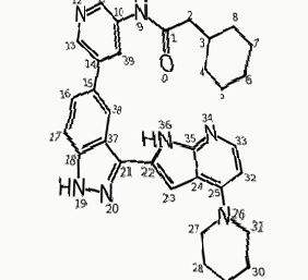 O=C(CC1CCCCC1)Nc1cncc(-c2ccc3[nH]nc(-c4cc5c(N6CCCCC6)ccnc5[nH]4)c3c2)c1